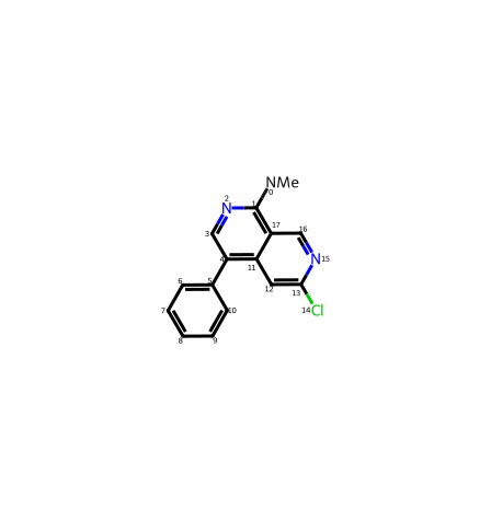 CNc1ncc(-c2ccccc2)c2cc(Cl)ncc12